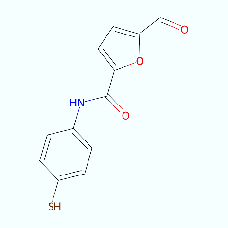 O=Cc1ccc(C(=O)Nc2ccc(S)cc2)o1